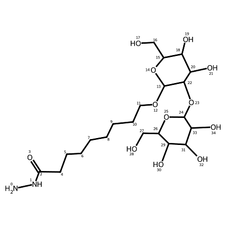 NNC(=O)CCCCCCCCOC1OC(CO)C(O)C(O)C1OC1OC(CO)C(O)C(O)C1O